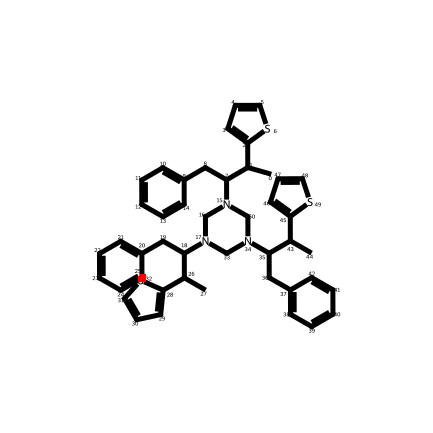 CC(c1cccs1)C(Cc1ccccc1)N1CN(C(Cc2ccccc2)C(C)c2cccs2)CN(C(Cc2ccccc2)C(C)c2cccs2)C1